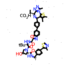 Cc1ncsc1-c1ccc([C@H](C)NC(=O)[C@@H]2C[C@@H](O)CN2C(=O)[C@@H](NC(=O)c2nc3ccc(-c4ccc(C5=N[C@@H](C(C)C(=O)O)c6nnc(C)n6-c6sc(C)c(C)c65)cc4)cc3o2)C(C)(C)C)cc1